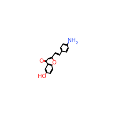 Nc1ccc(C=Cc2cc(=O)c3cc(O)ccc3o2)cc1